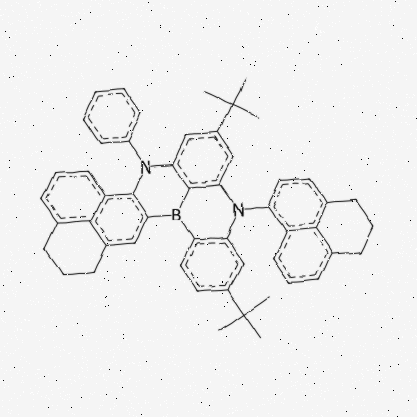 CC(C)(C)c1ccc2c(c1)N(c1ccc3c4c(cccc14)CCC3)c1cc(C(C)(C)C)cc3c1B2c1cc2c4c(cccc4c1N3c1ccccc1)CCC2